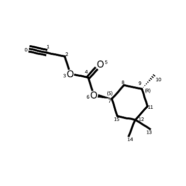 C#CCOC(=O)O[C@H]1C[C@H](C)CC(C)(C)C1